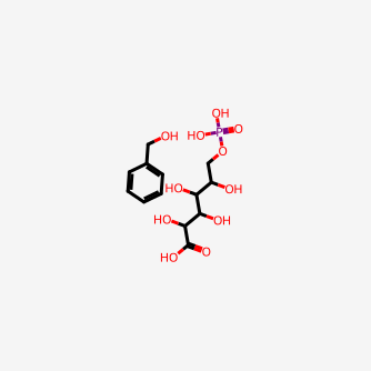 O=C(O)C(O)C(O)C(O)C(O)COP(=O)(O)O.OCc1ccccc1